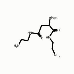 CCCCCC(CC(=O)NCCN)C(=O)NCCN